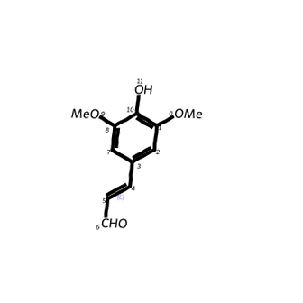 COc1cc(/C=C/C=O)cc(OC)c1O